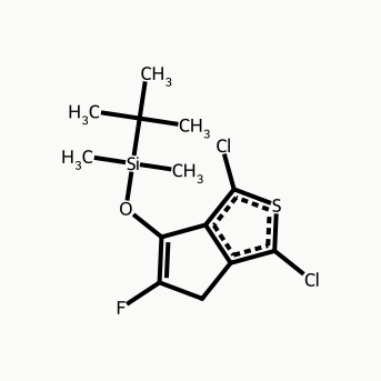 CC(C)(C)[Si](C)(C)OC1=C(F)Cc2c(Cl)sc(Cl)c21